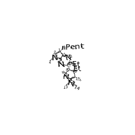 CCCCCc1cn(C)c2nc(-c3cnc(N(C)C)cc3CC)c(CC)nc12